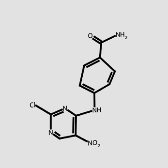 NC(=O)c1ccc(Nc2nc(Cl)ncc2[N+](=O)[O-])cc1